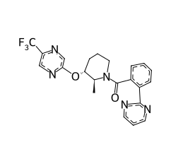 C[C@H]1[C@H](Oc2cnc(C(F)(F)F)cn2)CCCN1C(=O)c1ccccc1-c1ncccn1